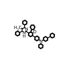 C=C1C(c2ccccc2)N=C(c2ccc(-c3ccc(N(c4ccccc4)c4ccc(-c5ccccc5)cc4)cc3)c3oc4ccccc4c23)NC1c1ccccc1